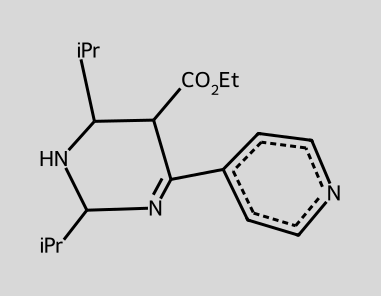 CCOC(=O)C1C(c2ccncc2)=NC(C(C)C)NC1C(C)C